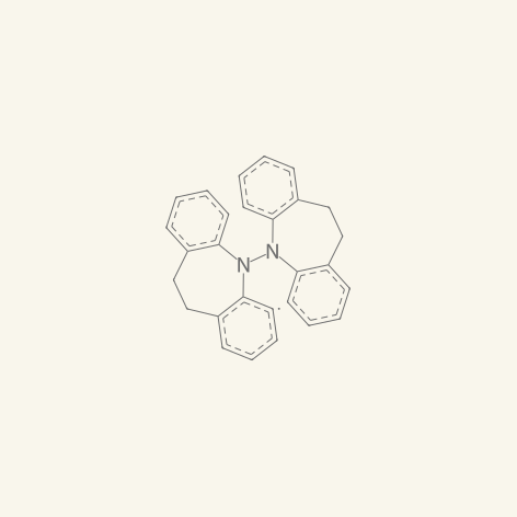 [c]1cccc2c1N(N1c3ccccc3CCc3ccccc31)c1ccccc1CC2